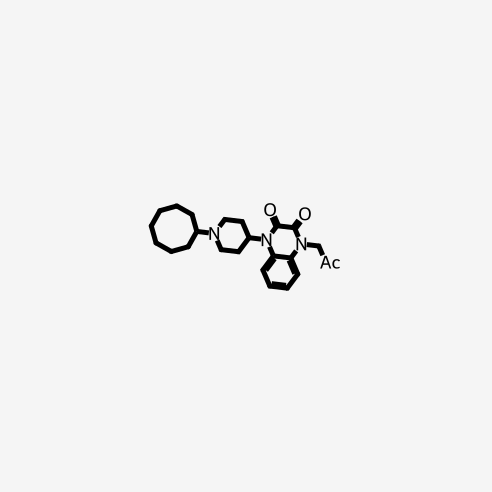 CC(=O)Cn1c(=O)c(=O)n(C2CCN(C3CCCCCCC3)CC2)c2ccccc21